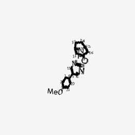 COc1ccc(-c2cnc(OC3CC4CCC(C3)N4)nc2)cc1